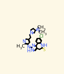 Cc1ncc(CCN2CCC(N(C)C)C2)cc1Nc1ncc2c(n1)-c1ccc(Cl)cc1NC(=S)C2